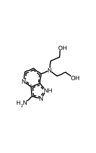 Nc1n[nH]c2c(N(CCO)CCO)ccnc12